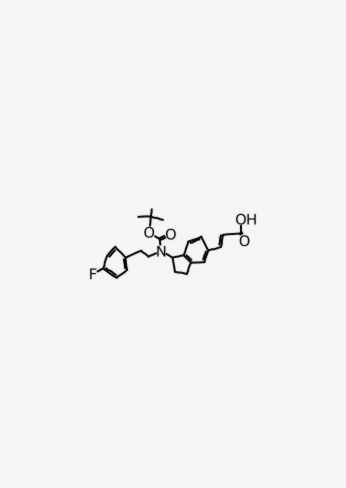 CC(C)(C)OC(=O)N(CCc1ccc(F)cc1)C1CCc2cc(/C=C/C(=O)O)ccc21